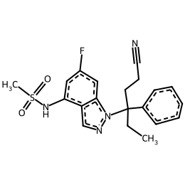 CCC(CCC#N)(c1ccccc1)n1ncc2c(NS(C)(=O)=O)cc(F)cc21